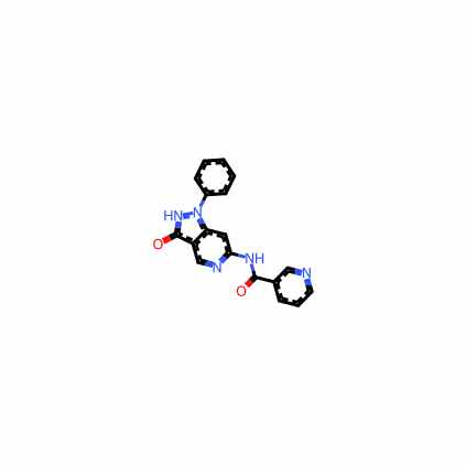 O=C(Nc1cc2c(cn1)c(=O)[nH]n2-c1ccccc1)c1cccnc1